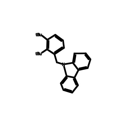 CC(C)(C)c1cccc(Cn2c3ccccc3c3ccccc32)c1C(C)(C)C